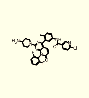 Cc1ccc(NC(=O)c2ccc(Cl)nc2)cc1-c1nc(N2CCC(N)CC2)nc2c1ccc(=O)n2-c1c(F)cccc1F